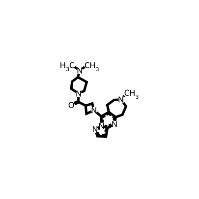 CN1CCc2nc3ccnn3c(N3CC(C(=O)N4CCC(N(C)C)CC4)C3)c2CC1